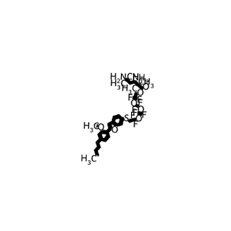 CCCCCc1ccc(-c2cc3ccc(SCC(F)(F)OC(F)(F)OC(F)(F)OC(F)(F)COC(=O)C(C)(C)C(N)CC(C)(C)N)cc3o2)c(OC)c1